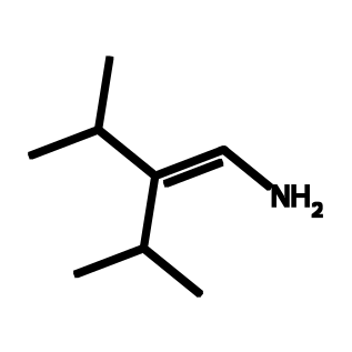 CC(C)C(=CN)C(C)C